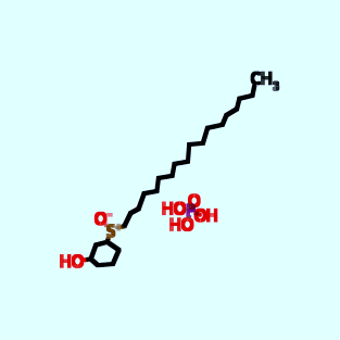 CCCCCCCCCCCCCCCCCC[S+]([O-])C1CCCC(O)C1.O=P(O)(O)O